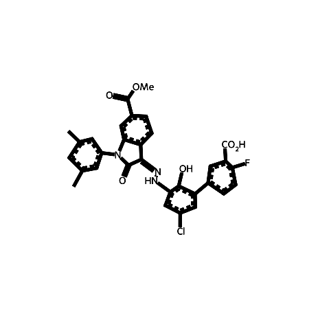 COC(=O)c1ccc2c(c1)N(c1cc(C)cc(C)c1)C(=O)C2=NNc1cc(Cl)cc(-c2ccc(F)c(C(=O)O)c2)c1O